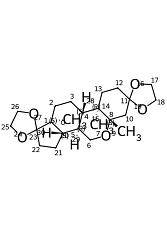 C[C@]12CC[C@H]3[C@@H](CO[C@@]4(C)CC5(CC[C@]34C)OCCO5)[C@@H]1CCC21OCCO1